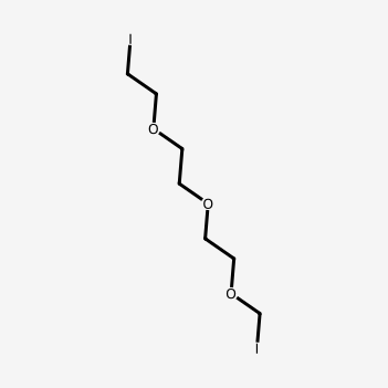 ICCOCCOCCOCI